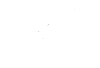 CC(C)Oc1ccc2c(c1)[C@@H](NC[C@@H](O)[C@H](Cc1cc(F)cc(F)c1)NC(=O)O)CCO2